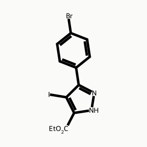 CCOC(=O)c1[nH]nc(-c2ccc(Br)cc2)c1I